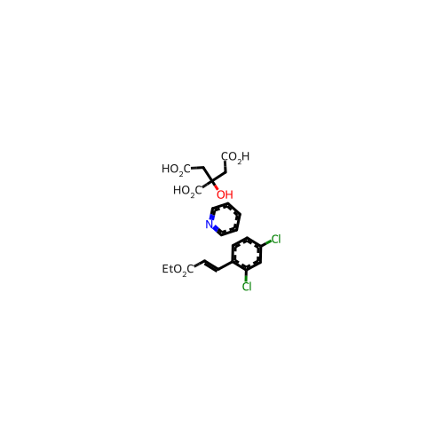 CCOC(=O)C=Cc1ccc(Cl)cc1Cl.O=C(O)CC(O)(CC(=O)O)C(=O)O.c1ccncc1